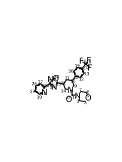 O=C(N1CCOCC1)N1CC(c2ccc(C(F)(F)F)cc2)CC(c2nc(-c3ccccn3)no2)C1